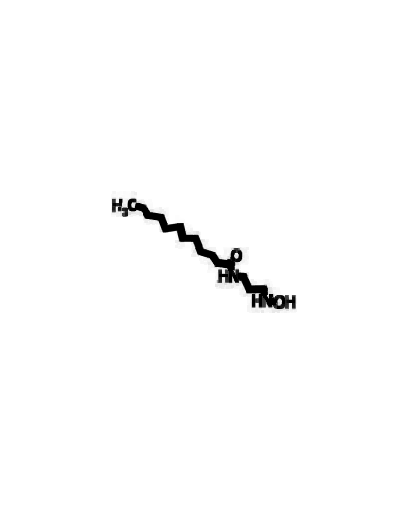 CCCCCCCCCCCC(=O)NCCCNO